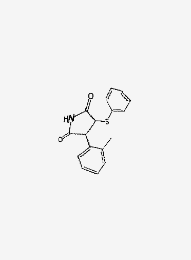 Cc1ccccc1C1C(=O)NC(=O)C1Sc1ccccc1